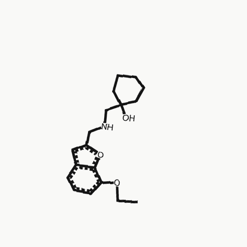 CCOc1cccc2cc(CNCC3(O)CCCCC3)oc12